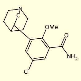 COc1c(C(N)=O)cc(Cl)cc1C1CN2CCC1CC2